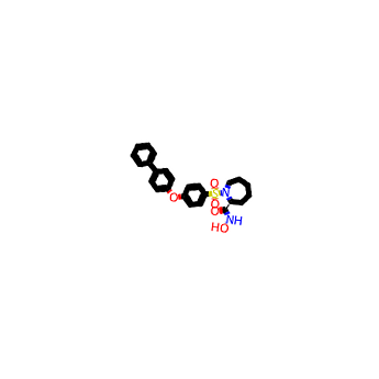 O=C(NO)[C@H]1CCCCCN1S(=O)(=O)c1ccc(Oc2ccc(-c3ccccc3)cc2)cc1